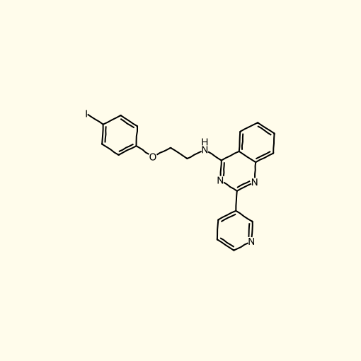 Ic1ccc(OCCNc2nc(-c3cccnc3)nc3ccccc23)cc1